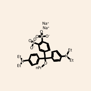 CCCOC(c1ccc(N(CC)CC)cc1)(c1ccc(N(CC)CC)cc1)c1ccc(S(=O)(=O)[O-])c(S(=O)(=O)[O-])c1.[Na+].[Na+]